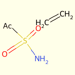 C=C.CC(=O)S(N)(=O)=O